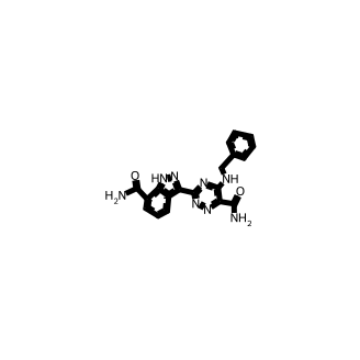 NC(=O)c1nnc(-c2n[nH]c3c(C(N)=O)cccc23)nc1NCc1ccccc1